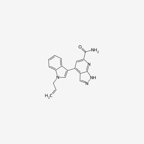 C=CCn1cc(-c2cc(C(N)=O)nc3[nH]ncc23)c2ccccc21